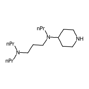 CCCN(CCC)CCCN(CCC)C1CCNCC1